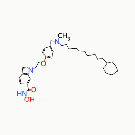 CN(CCCCCCCCCCC1CCCCCC1)Cc1ccc(OCCn2ccc3ccc(C(=O)NO)cc32)cc1